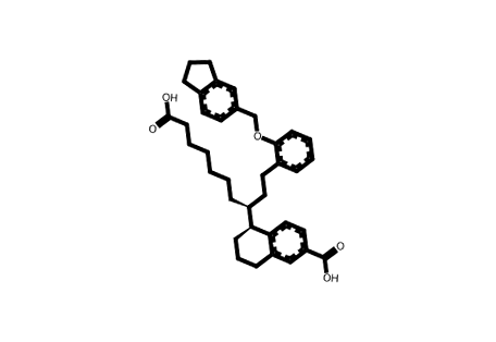 O=C(O)CCCCCC[C@@H](CCc1ccccc1OCc1ccc2c(c1)CCC2)[C@@H]1CCCc2cc(C(=O)O)ccc21